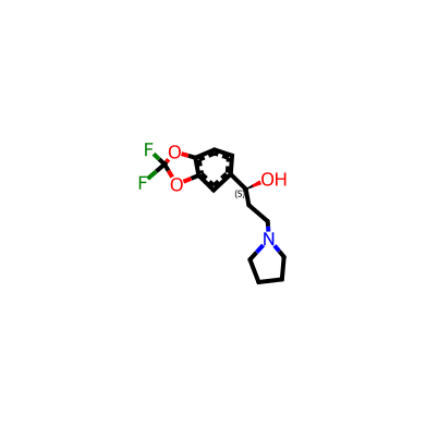 O[C@@H](CCN1CCCC1)c1ccc2c(c1)OC(F)(F)O2